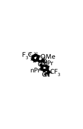 CCCc1cc2c(C(F)(F)F)noc2c(CCC)c1OC(C(=O)OC)c1ccc(C(F)(F)F)cc1